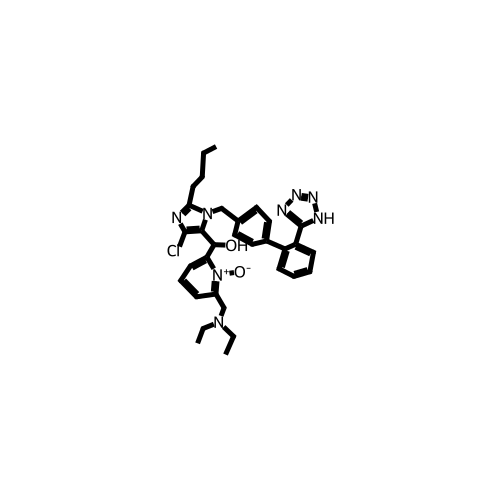 CCCCc1nc(Cl)c(C(O)c2cccc(CN(CC)CC)[n+]2[O-])n1Cc1ccc(-c2ccccc2-c2nnn[nH]2)cc1